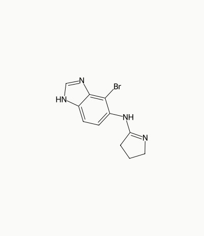 Brc1c(NC2=NCCC2)ccc2[nH]cnc12